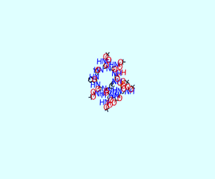 CC(C)C[C@@H]1NC(=O)[C@@H](Cc2ccccc2)NC(=O)[C@H](CCNC(=O)OC(C)(C)C)NC(=O)[C@@H](NC(=O)[C@H](CCNC(=O)OC(C)(C)C)NC(=O)[C@@H](NC(=O)[C@H](CCNC(=O)OC(C)(C)C)NC(=O)CP2(=O)OCC(C)(C)CO2)C(C)O)CCNC(=O)[C@H](C(C)O)NC(=O)[C@H](CCNC(=O)OC(C)(C)C)NC(=O)[C@H](CCNC(=O)OC(C)(C)C)NC1=O